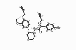 C#CCOc1ccc([C@H]2CCCC[C@@H]2NC(=O)C(OCC#C)c2ccc(Br)cc2)cc1OC